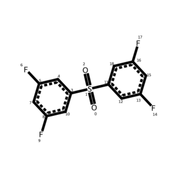 O=S(=O)(c1cc(F)cc(F)c1)c1cc(F)cc(F)c1